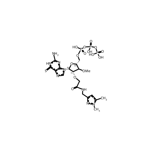 COC1[C@@H](COP(=O)(O)OP(=O)(O)OP(=O)(O)O)O[C@@H](n2cnc3c(=S)[nH]c(N)nc32)[C@H]1OCC(=O)NCc1cc(C)n(C)n1